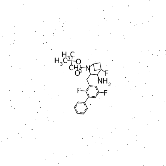 CC(C)(C)OC(=O)N1C2CC(F)(C2)C(N)C1Cc1cc(F)cc(-c2ccccc2)c1F